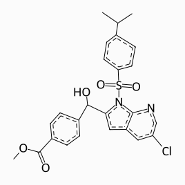 COC(=O)c1ccc(C(O)c2cc3cc(Cl)cnc3n2S(=O)(=O)c2ccc(C(C)C)cc2)cc1